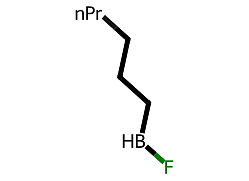 CCCCCCBF